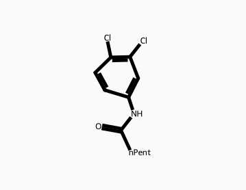 CCCCCC(=O)Nc1ccc(Cl)c(Cl)c1